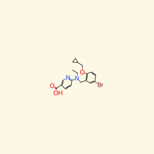 CCN(Cc1cc(Br)ccc1OCC1CC1)c1ccc(C(=O)O)cn1